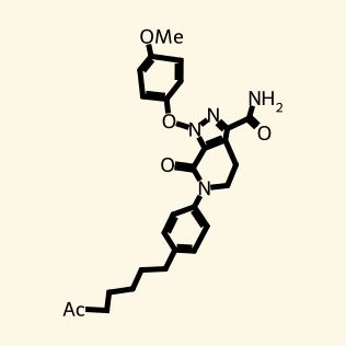 COc1ccc(On2nc(C(N)=O)c3c2C(=O)N(c2ccc(CCCCCC(C)=O)cc2)CC3)cc1